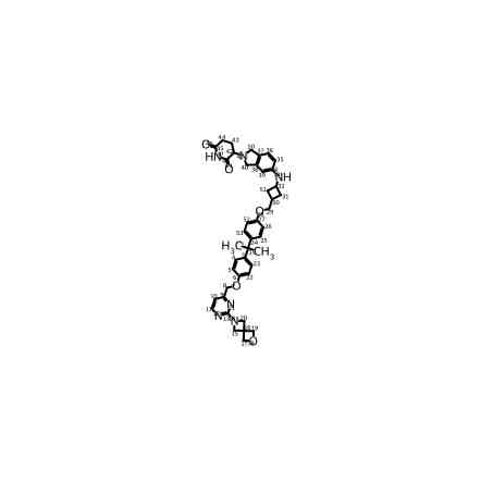 CC(C)(c1ccc(OCc2ccnc(N3CC4(COC4)C3)n2)cc1)c1ccc(OCC2CC(Nc3ccc4c(c3)CN(C3CCC(=O)NC3=O)C4)C2)cc1